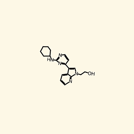 OCCn1cc(-c2ccnc(NC3CCCCC3)n2)c2cccnc21